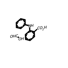 O=C(O)c1ccccc1Nc1ccccc1.O=CO